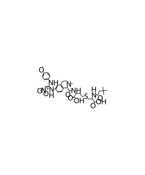 COc1ccc(NC(=C[N+](=O)[O-])Nc2ccc3c(c2)CCN(C)C3C(=O)NC(CCSCC(NC(=O)CC(C)(C)C)C(=O)O)C(=O)O)cc1